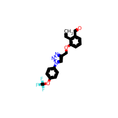 C=Cc1c(C=O)cccc1OCc1cn(-c2ccc(OC(F)(F)F)cc2)nn1